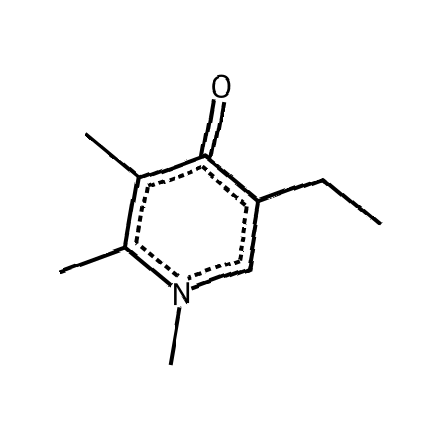 CCc1cn(C)c(C)c(C)c1=O